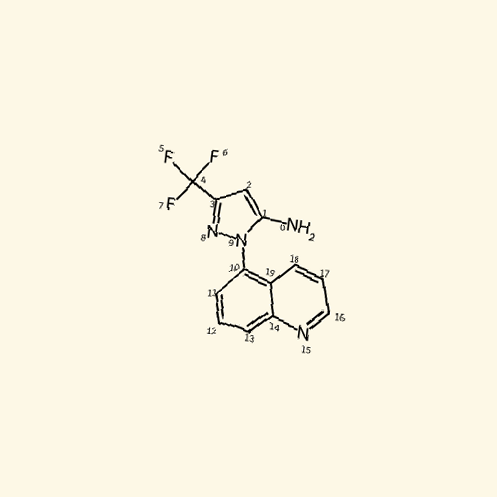 Nc1cc(C(F)(F)F)nn1-c1cccc2ncccc12